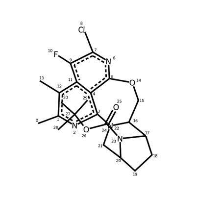 Cc1nc2c3c(nc(Cl)c(F)c3c1C)OCC1C3CCC(CN21)N3C(=O)OC(C)(C)C